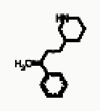 C=C(CCC1CCCNC1)c1ccccc1